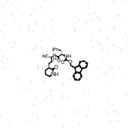 CC(C)C[C@H](NC(=O)OCC1c2ccccc2-c2ccccc21)C(=O)N[C@H](C#N)CC[C@@H]1CCCNC1=O